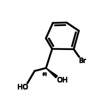 OC[C@H](O)c1ccccc1Br